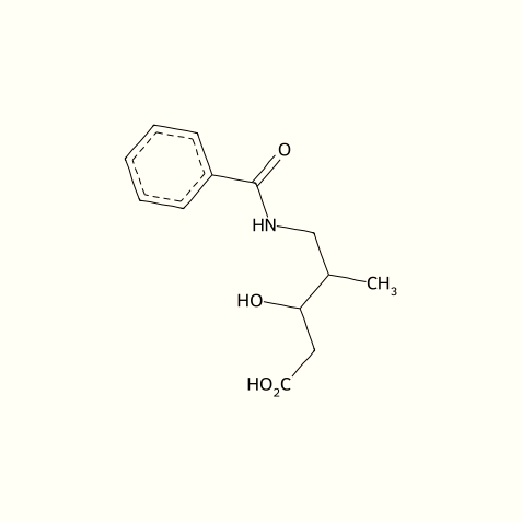 CC(CNC(=O)c1ccccc1)C(O)CC(=O)O